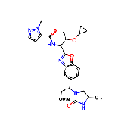 COCC(c1ccc2oc(C(NC(=O)c3ccnn3C)C(C)OC3CC3)nc2c1)N1CC(C(F)(F)F)NC1=O